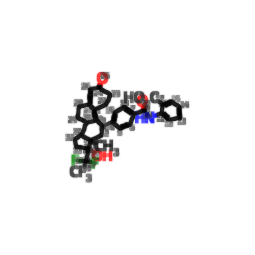 C[C@]12C[C@H](c3ccc(C(=O)Nc4ccccc4C(=O)O)cc3)C3=C4CCC(=O)C=C4CCC3C1CC[C@]2(O)C(F)(F)C(F)(F)F